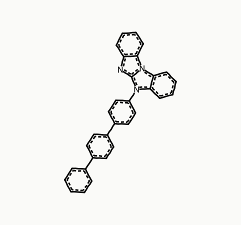 c1ccc(-c2ccc(-c3ccc(-n4c5ccccc5n5c6ccccc6nc45)cc3)cc2)cc1